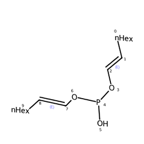 CCCCCC/C=C/OP(O)O/C=C/CCCCCC